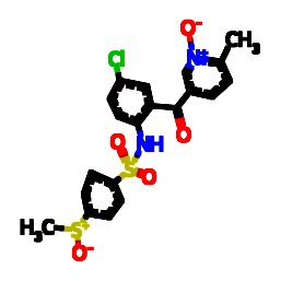 Cc1ccc(C(=O)c2cc(Cl)ccc2NS(=O)(=O)c2ccc([S+](C)[O-])cc2)c[n+]1[O-]